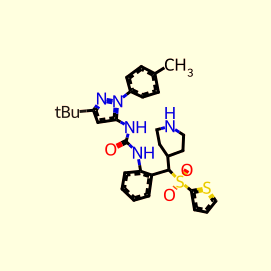 Cc1ccc(-n2nc(C(C)(C)C)cc2NC(=O)Nc2ccccc2C(C2CCNCC2)S(=O)(=O)c2cccs2)cc1